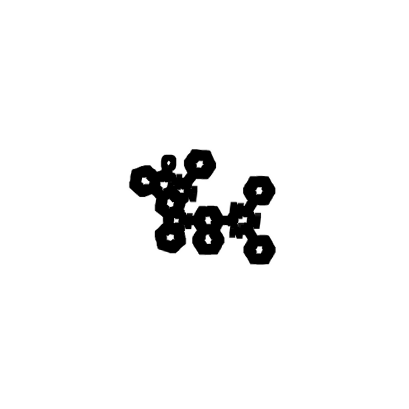 O=c1c2ccccc2c2cc3c4ccccc4n(-c4ccc(-c5nc(-c6ccccc6)nc(-c6ccccc6)n5)c5ccccc45)c3c3nc(-c4ccccc4)n1c23